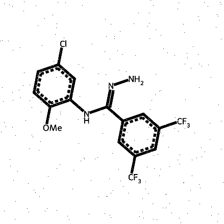 COc1ccc(Cl)cc1NC(=NN)c1cc(C(F)(F)F)cc(C(F)(F)F)c1